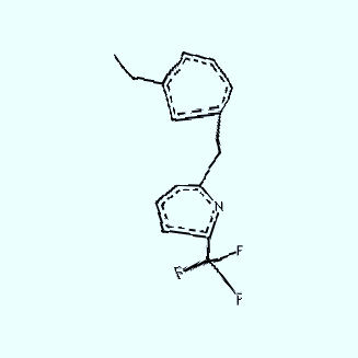 CCc1cccc(Cc2cccc(C(F)(F)F)n2)c1